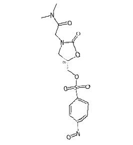 CN(C)C(=O)CN1C[C@@H](COS(=O)(=O)c2ccc(N=O)cc2)OC1=O